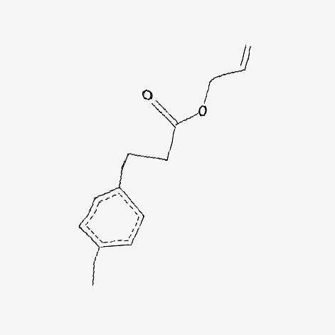 C=CCOC(=O)CCc1ccc(C)cc1